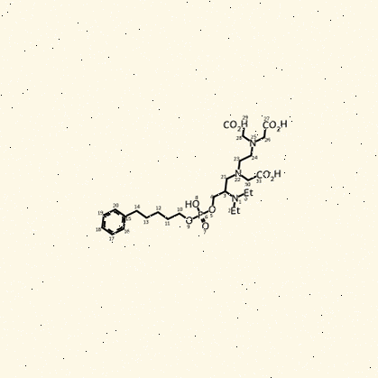 CCN(CC)C(COP(=O)(O)OCCCCCc1ccccc1)CN(CCN(CC(=O)O)CC(=O)O)CC(=O)O